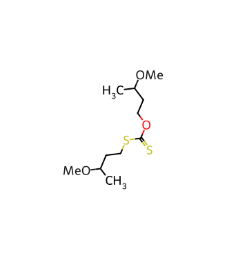 COC(C)CCOC(=S)SCCC(C)OC